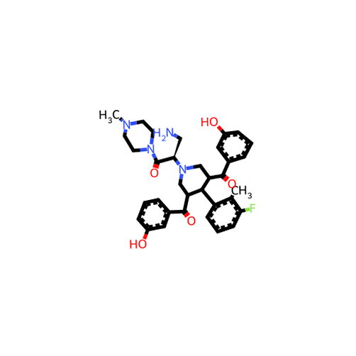 Cc1c(F)cccc1C1C(C(=O)c2cccc(O)c2)CN([C@H](CN)C(=O)N2CCN(C)CC2)CC1C(=O)c1cccc(O)c1